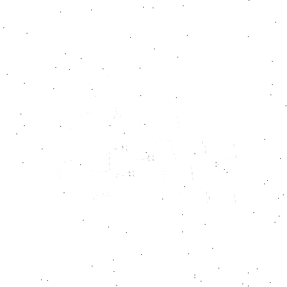 c1ccc2c(c1)ccc1nc(-n3c4ccc5c6ccccc6c6ccccc6c5c4c4ccc5ccccc5c43)nc(-c3cccc4c3oc3ccccc34)c12